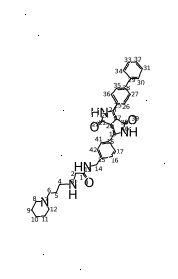 O=C(CNCCCN1CCCCC1)NCc1ccc(C2=C3C(=O)NC(c4ccc(-c5ccccc5)cc4)=C3C(=O)N2)cc1